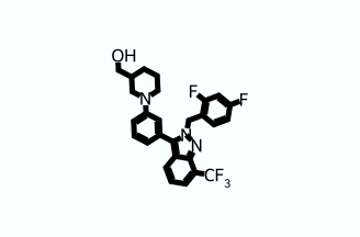 OCC1CCCN(c2cccc(-c3c4cccc(C(F)(F)F)c4nn3Cc3ccc(F)cc3F)c2)C1